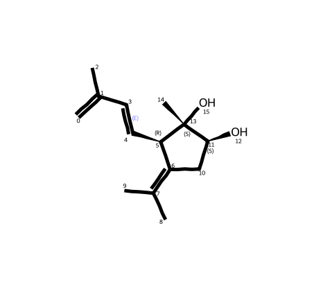 C=C(C)/C=C/[C@@H]1C(=C(C)C)C[C@H](O)[C@@]1(C)O